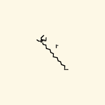 CCCCCCCCCCCCCC[P+](CC)(CC)CC.[I-]